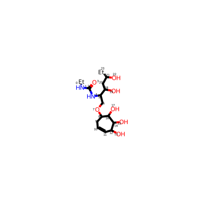 CCNC(=O)NC(COC1CC=CC(O)C(O)C1O)C(O)CC(O)CC